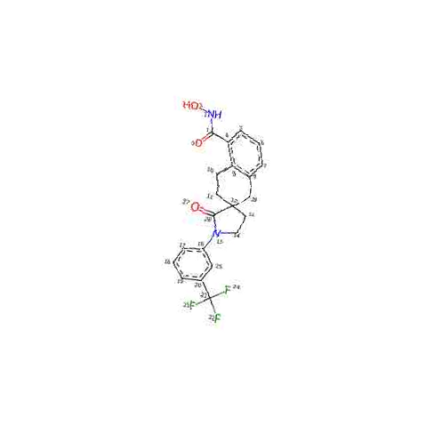 O=C(NO)c1cccc2c1CCC1(CCN(c3cccc(C(F)(F)F)c3)C1=O)C2